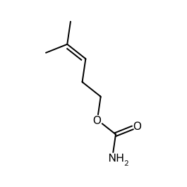 CC(C)=CCCOC(N)=O